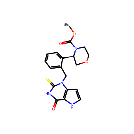 CC(C)(C)OC(=O)N1CCOC[C@H]1c1ccccc1Cn1c(=S)[nH]c(=O)c2[nH]ccc21